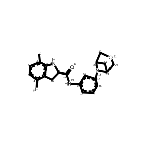 Cc1ccc(F)c2c1NC(C(=O)Nc1cccc(N3C4COCC3C4)c1)C2